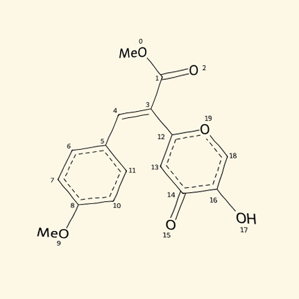 COC(=O)/C(=C/c1ccc(OC)cc1)c1cc(=O)c(O)co1